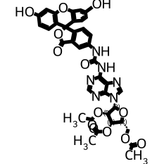 CC(=O)OC[C@H]1O[C@@H](n2cnc3c(NC(=O)Nc4ccc5c(c4)C(=O)OC54c5ccc(O)cc5Oc5cc(O)ccc54)ncnc32)[C@H](OC(C)=O)[C@@H]1OC(C)=O